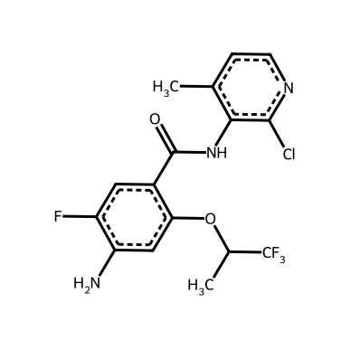 Cc1ccnc(Cl)c1NC(=O)c1cc(F)c(N)cc1OC(C)C(F)(F)F